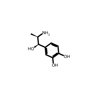 C[C@@H](N)[C@H](O)c1ccc(O)c(O)c1